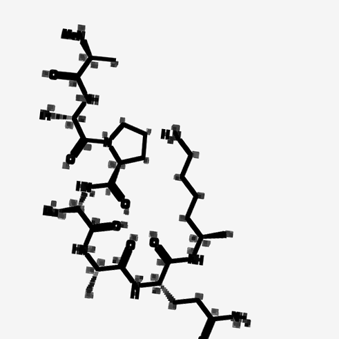 CC[C@H](C)[C@H](NC(=O)[C@@H]1CCCN1C(=O)[C@@H](NC(=O)[C@H](C)NC)C(C)C)C(=O)N[C@@H](C)C(=O)N[C@@H](CCC(N)=O)C(=O)N[C@H](C)CCCCN